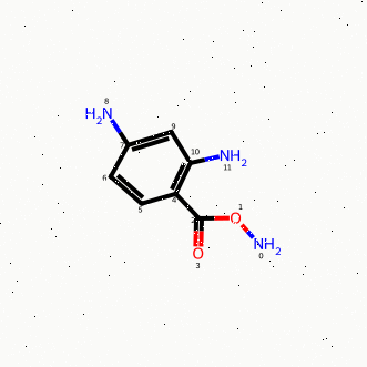 NOC(=O)c1ccc(N)cc1N